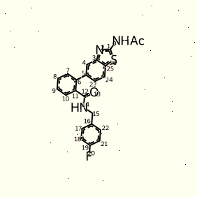 CC(=O)Nc1nc2cc(-c3ccccc3C(=O)NCc3ccc(F)cc3)ccc2s1